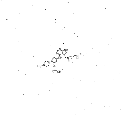 CNCCCN(C)Cc1c[nH]c2ncnc(Nc3ccc(N4CCN(C)CC4)c(OCC(=O)O)c3)c12